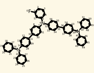 Fc1cccc(N(c2ccc(-c3ccc(N(c4ccccc4)c4ccccc4)cc3)cc2)c2ccc(-c3ccc(N(c4ccccc4)c4ccccc4)cc3)cc2)c1